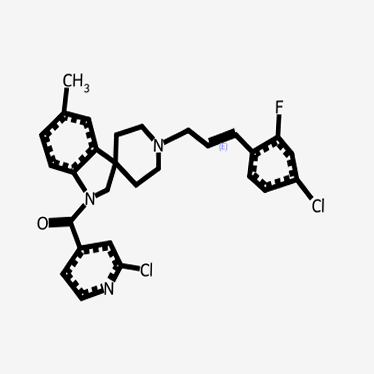 Cc1ccc2c(c1)C1(CCN(C/C=C/c3ccc(Cl)cc3F)CC1)CN2C(=O)c1ccnc(Cl)c1